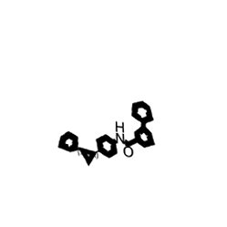 O=C(Nc1ccc([C@@H]2C[C@@H]2c2ccccc2)cc1)c1cccc(-c2ccccc2)c1